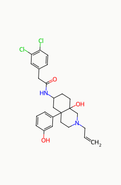 C=CCN1CCC2(c3cccc(O)c3)CC(NC(=O)Cc3ccc(Cl)c(Cl)c3)CCC2(O)C1